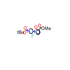 COC(=O)c1cccn(C2CCN(C(=O)OC(C)(C)C)CC2F)c1=O